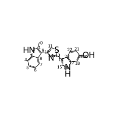 Cc1[nH]c2ccccc2c1-c1csc(-c2c[nH]c3cc(O)ccc23)n1